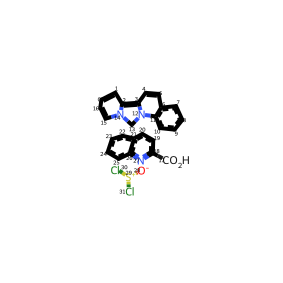 C1=CC2=C3C=Cc4ccccc4N3CN2C=C1.O=C(O)c1ccc2ccccc2n1.[O-][S+](Cl)Cl